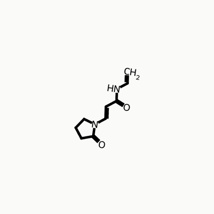 C=CNC(=O)C=CN1CCCC1=O